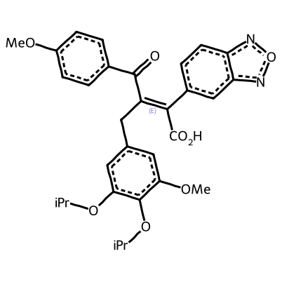 COc1ccc(C(=O)/C(Cc2cc(OC)c(OC(C)C)c(OC(C)C)c2)=C(/C(=O)O)c2ccc3nonc3c2)cc1